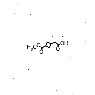 COC(=O)C1CC(CC(=O)O)C1